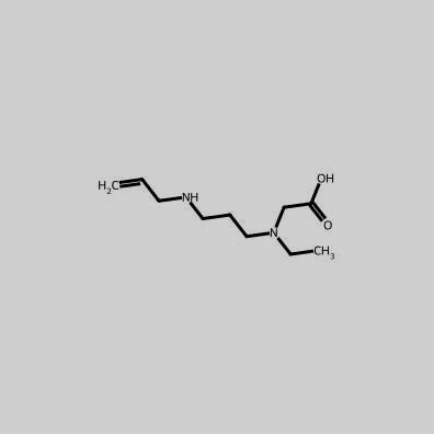 C=CCNCCCN(CC)CC(=O)O